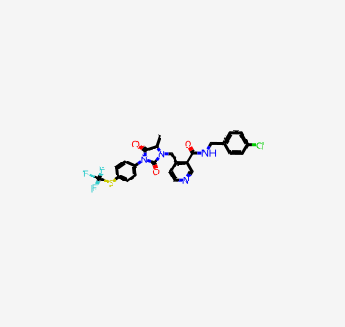 CC1C(=O)N(c2ccc(SC(F)(F)F)cc2)C(=O)N1Cc1ccncc1C(=O)NCc1ccc(Cl)cc1